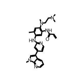 C=CC(=O)Nc1cc(Nc2cc(-c3cn(C)c4ncccc34)ccn2)c(C)cc1N(C)CCN(C)C